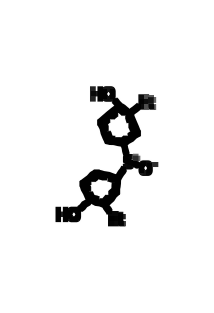 CCc1cc([S+]([O-])c2ccc(O)c(CC)c2)ccc1O